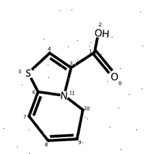 O=C(O)C1=CSC2=CC=CCN21